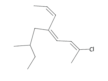 C\C=C/C(=C\C=C(/C)Cl)CC(C)CC